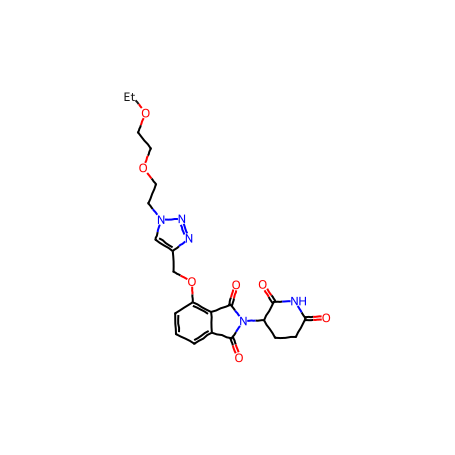 CCOCCOCCn1cc(COc2cccc3c2C(=O)N(C2CCC(=O)NC2=O)C3=O)nn1